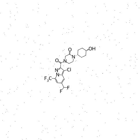 O=C(c1nn2c(C(F)(F)F)cc(C(F)F)cc2c1Cl)N1CCN([C@H]2CC[C@H](O)CC2)C(=O)C1